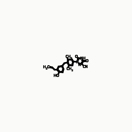 C=CCc1cc(Cc2c(C)cc(-n3nc(C#N)c(=O)[nH]c3=O)cc2C)ccc1O